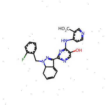 O=C(O)c1cnccc1Nc1nc(C2=NN(Cc3ccccc3F)C3CC=CC=C23)ncc1O